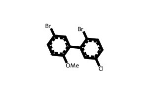 COc1[c]cc(Br)cc1-c1cc(Cl)ccc1Br